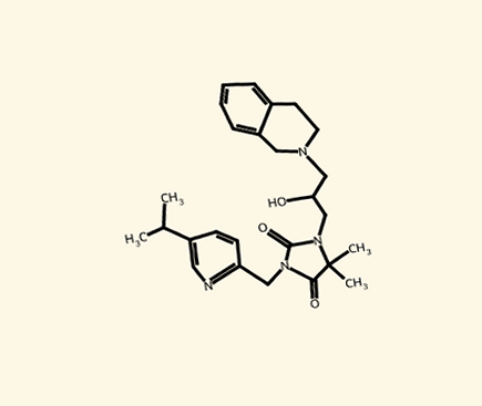 CC(C)c1ccc(CN2C(=O)N(CC(O)CN3CCc4ccccc4C3)C(C)(C)C2=O)nc1